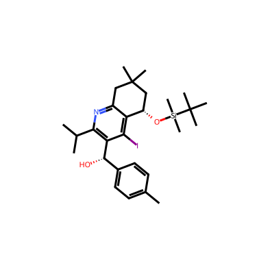 Cc1ccc([C@H](O)c2c(C(C)C)nc3c(c2I)[C@@H](O[Si](C)(C)C(C)(C)C)CC(C)(C)C3)cc1